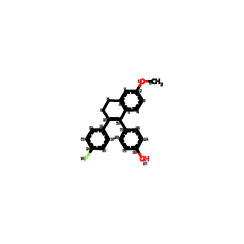 COc1ccc2c(c1)CCC(c1ccc(F)cc1)=C2c1ccc(O)cc1